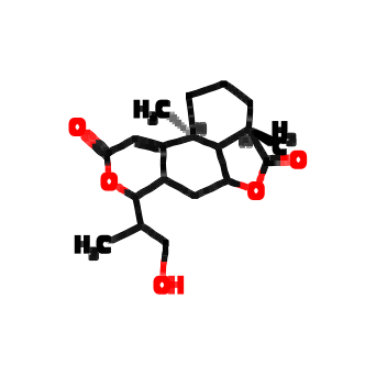 CC(CO)C1OC(=O)C=C2C1CC1OC(=O)[C@@]3(C)CCC[C@@]2(C)C13